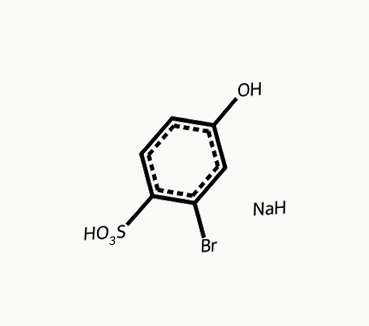 O=S(=O)(O)c1ccc(O)cc1Br.[NaH]